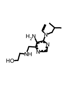 C=CN(CC(C)C)c1ncnc(CNCCO)c1N